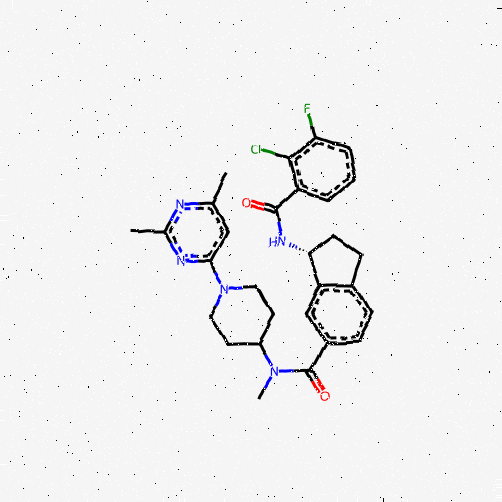 Cc1cc(N2CCC(N(C)C(=O)c3ccc4c(c3)[C@H](NC(=O)c3cccc(F)c3Cl)CC4)CC2)nc(C)n1